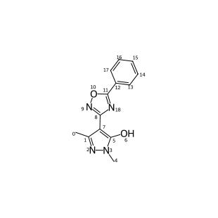 Cc1nn(C)c(O)c1-c1noc(-c2ccccc2)n1